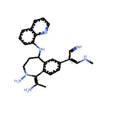 CN/C=C(\C=N)c1ccc2c(c1)C(Nc1cccc3cccnc13)CCN(N)/C2=C(/C)N